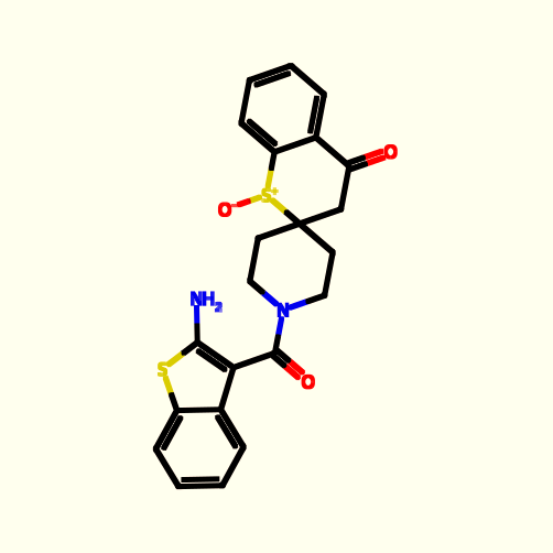 Nc1sc2ccccc2c1C(=O)N1CCC2(CC1)CC(=O)c1ccccc1[S+]2[O-]